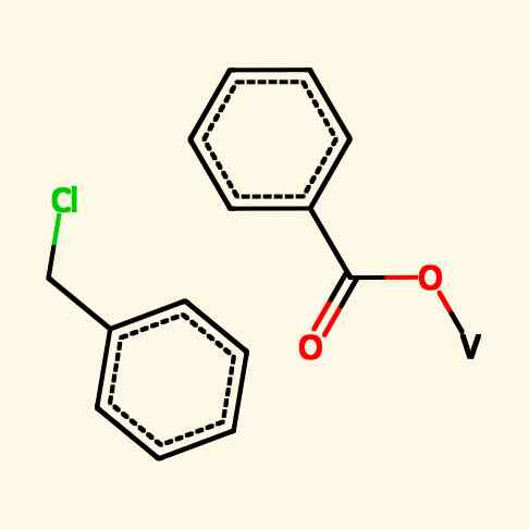 ClCc1ccccc1.O=C([O][V])c1ccccc1